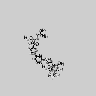 CCCC(=N)CCN(C)S(=O)(=O)c1ccc(-c2ccnc(NCCN3C(O)NC(O)C3(C)C)n2)s1